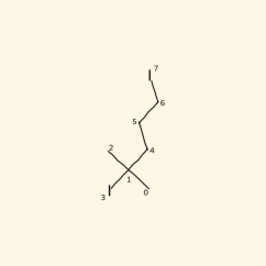 CC(C)(I)CCCI